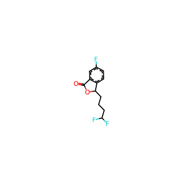 O=C1OC(CCCC(F)F)c2ccc(F)cc21